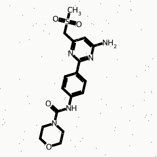 CS(=O)(=O)Cc1cc(N)nc(-c2ccc(NC(=O)N3CCOCC3)cc2)n1